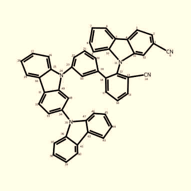 N#Cc1ccc2c3ccccc3n(-c3c(C#N)cccc3-c3cccc(-n4c5ccccc5c5ccc(-n6c7ccccc7c7ccccc76)cc54)c3)c2c1